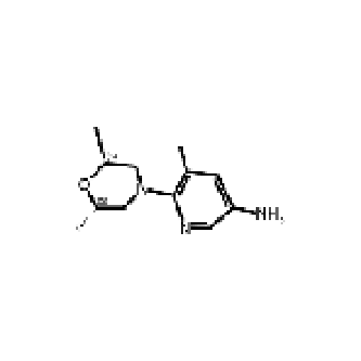 Cc1cc(N)cnc1N1C[C@H](C)O[C@@H](C)C1